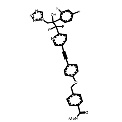 CNC(=O)c1ccc(COc2ccc(C#Cc3ccc(C(F)(F)C(O)(Cn4cnnn4)c4ccc(F)cc4F)nc3)cc2)cc1